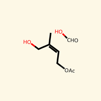 CC(=O)OCC=C(C)CO.O=CO